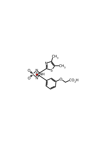 Cc1nc(N2C(c3cccc(OCC(=O)O)c3)N3NN2S3(=O)=O)sc1C